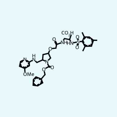 COc1ccnc(NCC2CC(OCC(=O)NCC(NS(=O)(=O)c3c(C)cc(C)cc3C)C(=O)O)CN2C(=O)OCc2ccccc2)c1